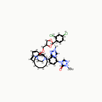 CCC(C)n1ncn(-c2ccc(N3CCN(C4=C\C5CCCCCCC\C(=C(OCC6CO[C@@](Cn7cncn7)(c7ccc(Cl)cc7Cl)O6)/C=C\4)C5)CC3)cc2)c1=O